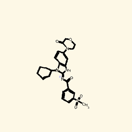 CS(=O)(=O)c1cccc(C(=O)/N=c2\[nH]c3cc(N4CCOCC4=O)ccc3n2C2CCCCC2)c1